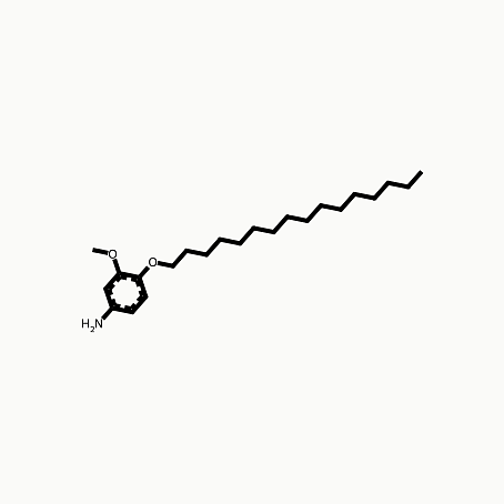 CCCCCCCCCCCCCCCCOc1ccc(N)cc1OC